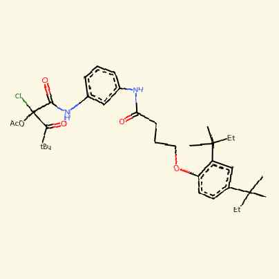 CCC(C)(C)c1ccc(OCCCC(=O)Nc2cccc(NC(=O)C(Cl)(OC(C)=O)C(=O)C(C)(C)C)c2)c(C(C)(C)CC)c1